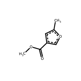 COC(=O)c1coc(C)c1